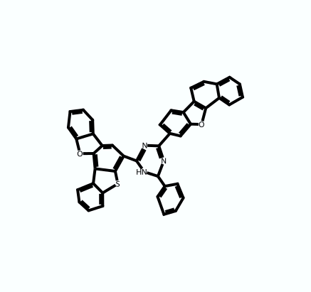 c1ccc(C2N=C(c3ccc4c(c3)oc3c5ccccc5ccc43)N=C(c3cc4c5ccccc5oc4c4c3sc3ccccc34)N2)cc1